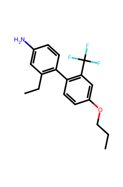 CCCOc1ccc(-c2ccc(N)cc2CC)c(C(F)(F)F)c1